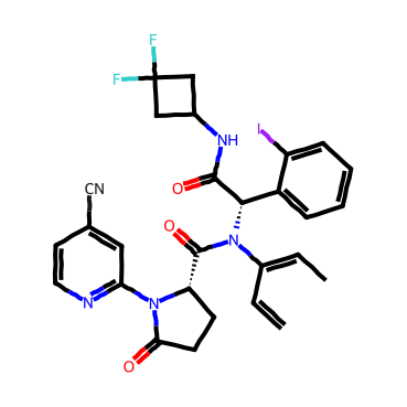 C=C/C(=C\C)N(C(=O)[C@@H]1CCC(=O)N1c1cc(C#N)ccn1)[C@H](C(=O)NC1CC(F)(F)C1)c1ccccc1I